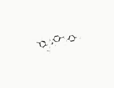 Cn1c(Nc2ccc(Cl)cc2C(F)(F)F)nc2cc(C(=O)Nc3ccc(Br)cc3)ccc21